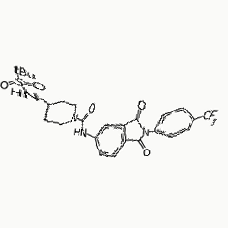 CC(C)(C)S(=O)(=O)NC1CCN(C(=O)Nc2ccc3c(c2)C(=O)N(c2ccc(C(F)(F)F)cc2)C3=O)CC1